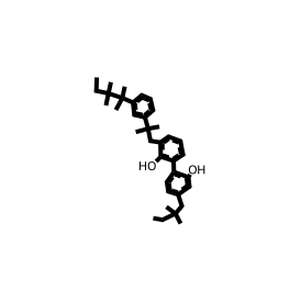 CCC(C)(C)Cc1ccc(-c2cccc(CC(C)(C)c3cccc(C(C)(C)C(C)(C)CC)c3)c2O)c(O)c1